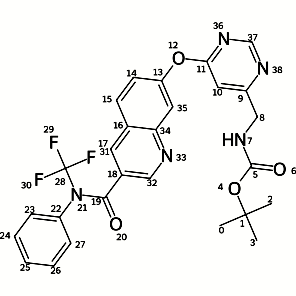 CC(C)(C)OC(=O)NCc1cc(Oc2ccc3cc(C(=O)N(c4ccccc4)C(F)(F)F)cnc3c2)ncn1